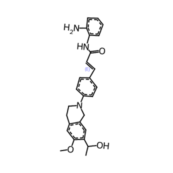 COc1cc2c(cc1C(C)O)CN(c1ccc(/C=C/C(=O)Nc3ccccc3N)cc1)CC2